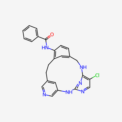 O=C(Nc1ccc2cc1CCc1cncc(c1)Nc1ncc(Cl)c(n1)NC2)c1ccccc1